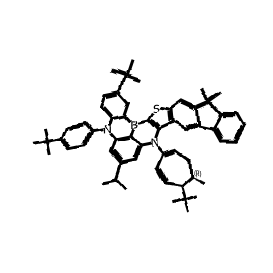 CC(C)c1cc2c3c(c1)N(C1=CC[C@@H](C)C(C(C)(C)C)C=C1)c1c(sc4cc5c(cc14)-c1ccccc1C5(C)C)B3C1CC(C(C)(C)C)=CC=C1N2c1ccc(C(C)(C)C)cc1